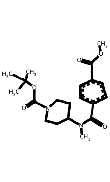 COC(=O)c1ccc(C(=O)N(C)C2CCN(C(=O)OC(C)(C)C)CC2)cc1